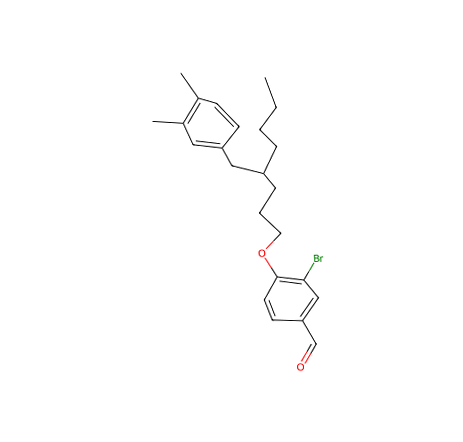 CCCCC(CCCOc1ccc(C=O)cc1Br)Cc1ccc(C)c(C)c1